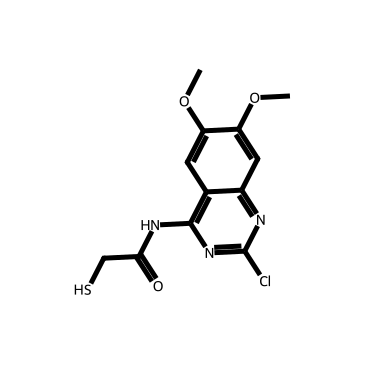 COc1cc2nc(Cl)nc(NC(=O)CS)c2cc1OC